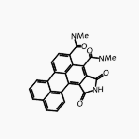 CNC(=O)c1ccc2c3cccc4cccc(c43)c3c4c(=O)[nH]c(=O)c4c(C(=O)NC)c1c23